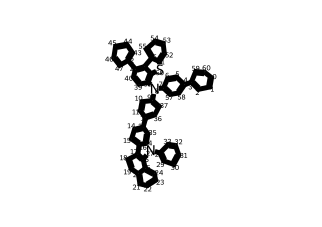 c1ccc(-c2ccc(N(c3ccc(-c4ccc5c6ccc7ccccc7c6n(-c6ccccc6)c5c4)cc3)c3ccc(-c4ccccc4)c4c3sc3ccccc34)cc2)cc1